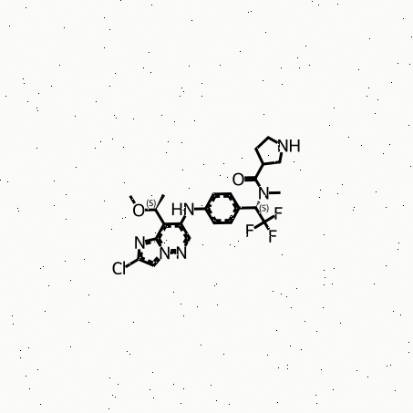 CO[C@@H](C)c1c(Nc2ccc([C@H](N(C)C(=O)C3CCNC3)C(F)(F)F)cc2)cnn2cc(Cl)nc12